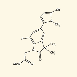 COC(=O)CN1C(=O)C(C)(C)c2cc(-c3ccc(C#N)n3C)cc(F)c21